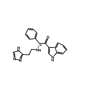 O=C(c1c[nH]c2ccccc12)[C@H](NCCc1nnc[nH]1)c1ccccc1